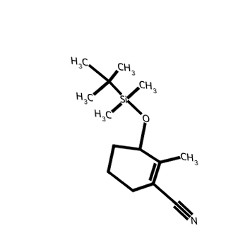 CC1=C(C#N)CCCC1O[Si](C)(C)C(C)(C)C